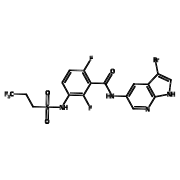 O=C(Nc1cnc2[nH]cc(Br)c2c1)c1c(F)ccc(NS(=O)(=O)CCC(F)(F)F)c1F